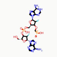 Nc1ncnc2c1ncn2[C@@H]1O[C@H](CO)C(OP(=O)(O)OC[C@H]2O[C@@H](n3cnc4c3N=CNC4N)C(F)C2OC[PH](=O)O)C1F